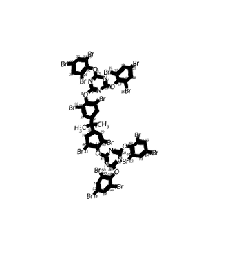 CC(C)(c1cc(Br)c(Oc2nc(Oc3c(Br)cc(Br)cc3Br)nc(Oc3c(Br)cc(Br)cc3Br)n2)c(Br)c1)c1cc(Br)c(Oc2nc(Oc3c(Br)cc(Br)cc3Br)nc(Oc3c(Br)cc(Br)cc3Br)n2)c(Br)c1